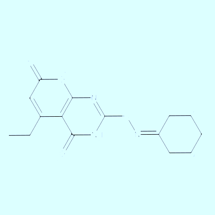 CCc1cc(=P)oc2nc(ON=C3CCCCC3)[nH]c(=O)c12